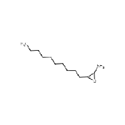 CCCCCCCCCCC1OC1N